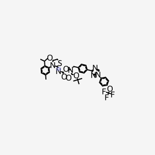 Cc1ccc(C(C)C)c(N2C(=O)CS/C2=N\C(=O)ON(Cc2ccc(-c3ncn(-c4ccc(OC(F)(F)F)cc4)n3)cc2)C(=O)OC(C)(C)C)c1